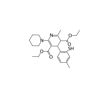 CCOC(=O)C1=C(N2CCCCC2)N=C(C)C(C(=O)OCC)C1c1ccc(C)cc1S